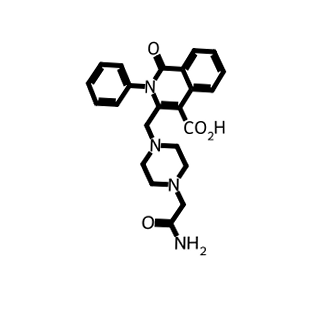 NC(=O)CN1CCN(Cc2c(C(=O)O)c3ccccc3c(=O)n2-c2ccccc2)CC1